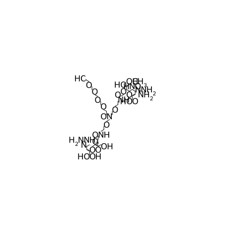 C#CCOCCOCCOCCOCCC(=O)N(CCOCCCNC(=O)CO[C@H]([C@H](O)CO)[C@H]1C[C@@H](N=C(N)N)C=C(C(=O)O)O1)CCOCCCNC(=O)CO[C@@H]([C@@H]1OC(C(=O)O)=C[C@H](N=C(N)N)[C@H]1NC(C)=O)[C@H](O)CO